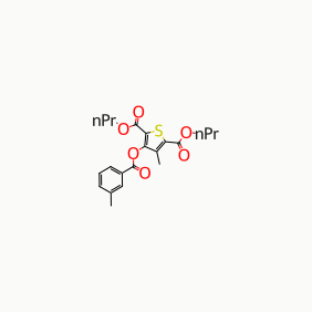 CCCOC(=O)c1sc(C(=O)OCCC)c(OC(=O)c2cccc(C)c2)c1C